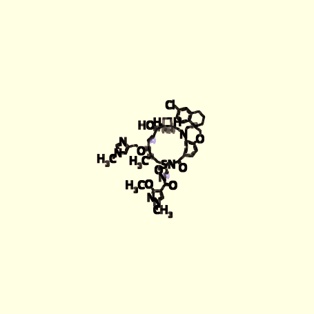 COc1nn(C)cc1C(=O)/N=C/S1(=O)=NC(=O)c2ccc3c(c2)N(C[C@@H]2CC[C@H]2[C@@H](O)/C=C/[C@H](OCc2cn(C)cn2)[C@H](C)C1)C[C@@]1(CCCc2cc(Cl)ccc21)CO3